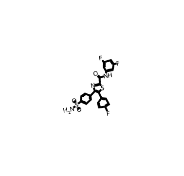 NS(=O)(=O)c1ccc(-c2nc(C(=O)Nc3cc(F)cc(F)c3)sc2-c2ccc(F)cc2)cc1